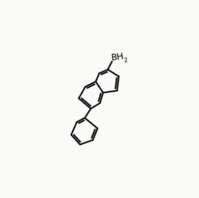 Bc1ccc2cc(-c3ccccc3)ccc2c1